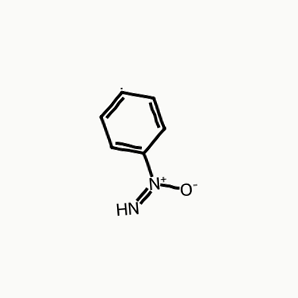 N=[N+]([O-])c1cc[c]cc1